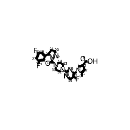 Cc1cc(C(=O)O)cn1-c1nc(N2CCN(C(=O)N3N=CCC3c3cc(F)cc(F)c3)CC2)ncc1F